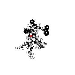 CC(C)C[C@@H](NC(=O)[C@H](Cc1cn(C(=O)OC(C)(C)C)c2ccccc12)NC(=O)[C@@H](Cc1cn(C(=O)OC(C)(C)C)c2ccccc12)NC(=O)OCC1c2ccccc2-c2ccccc21)C(=O)N[C@@H](CCNC(=O)OC(C)(C)C)C(=O)N[C@H](CCNC(=O)OC(C)(C)C)C(=O)N[C@@H](CCNC(=O)OC(C)(C)C)C(=O)N[C@H](CCNC(=O)OC(C)(C)C)C(=O)O